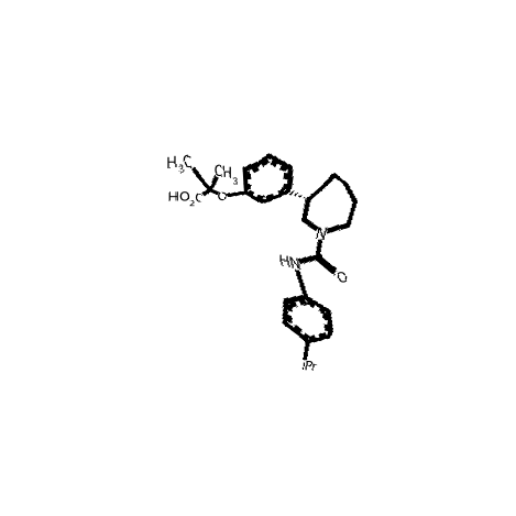 CC(C)c1ccc(NC(=O)N2CCC[C@@H](c3cccc(OC(C)(C)C(=O)O)c3)C2)cc1